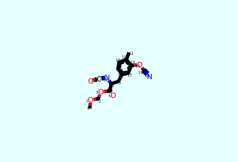 COCOC(=O)C(Cc1ccc(C)c(OC#N)c1)N=C=O